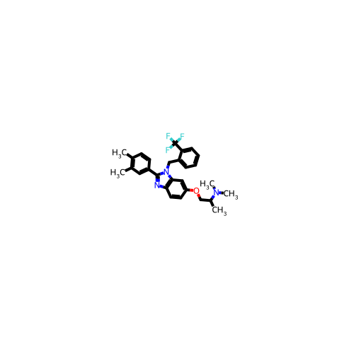 Cc1ccc(-c2nc3ccc(OCC(C)N(C)C)cc3n2Cc2ccccc2C(F)(F)F)cc1C